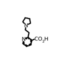 O=C(O)c1cccnc1CCN1CCCC1